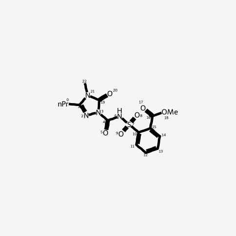 CCCc1nn(C(=O)NS(=O)(=O)c2ccccc2C(=O)OC)c(=O)n1C